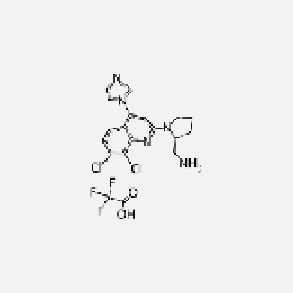 NC[C@@H]1CCCN1c1cc(-n2ccnc2)c2ccc(Cl)c(Cl)c2n1.O=C(O)C(F)(F)F